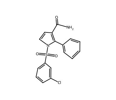 NC(=O)c1ccn(S(=O)(=O)c2cccc(Cl)c2)c1-c1ccccc1